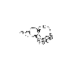 CN1CCCCCCCN2CCCCc3cc(Cl)ccc3COc3ccc(cc32)[C@@](O)(C(=O)O)CS1(=O)=O